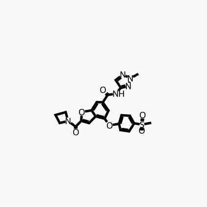 Cn1ncc(NC(=O)c2cc(Oc3ccc(S(C)(=O)=O)cc3)c3cc(C(=O)N4CCC4)oc3c2)n1